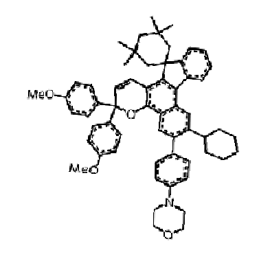 COc1ccc(C2(c3ccc(OC)cc3)C=Cc3c4c(c5cc(C6CCCCC6)c(-c6ccc(N7CCOCC7)cc6)cc5c3O2)-c2ccccc2C42CC(C)(C)CC(C)(C)C2)cc1